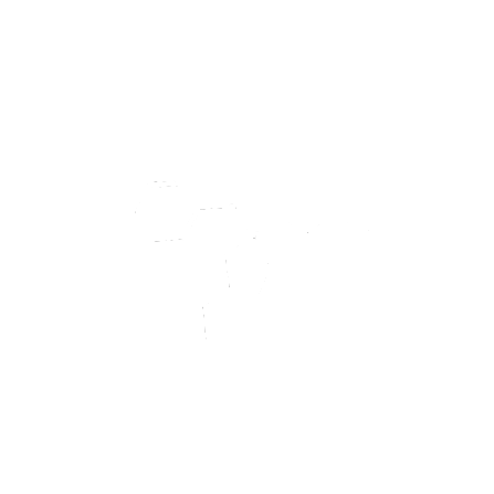 [CH2]CCC[Si](CCCC)(OC)Oc1ccccc1